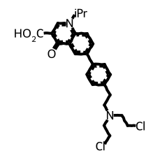 CC(C)n1cc(C(=O)O)c(=O)c2cc(-c3ccc(CCN(CCCl)CCCl)cc3)ccc21